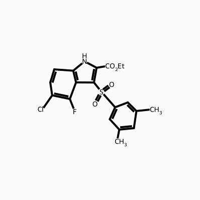 CCOC(=O)c1[nH]c2ccc(Cl)c(F)c2c1S(=O)(=O)c1cc(C)cc(C)c1